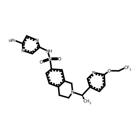 CCCc1cnc(NS(=O)(=O)c2ccc3c(c2)CN([C@H](C)c2ccc(OCC(F)(F)F)nc2)CC3)cn1